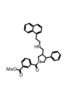 COC(=O)c1cccc(C(=O)N2CC(CNCCc3cccc4ccccc34)C(c3ccccc3)C2)c1